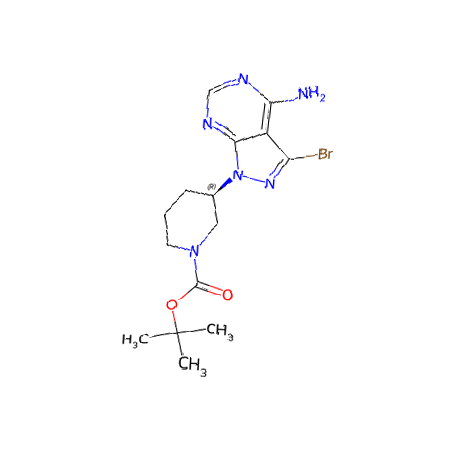 CC(C)(C)OC(=O)N1CCC[C@@H](n2nc(Br)c3c(N)ncnc32)C1